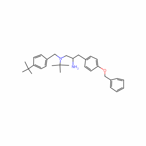 CC(C)(C)c1ccc(CN(CC(N)Cc2ccc(OCc3ccccc3)cc2)C(C)(C)C)cc1